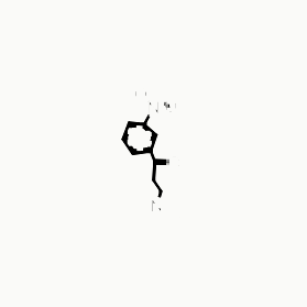 NCCC(=O)c1cccc([N+](=O)[O-])c1